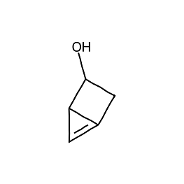 OC1CC2=CC21